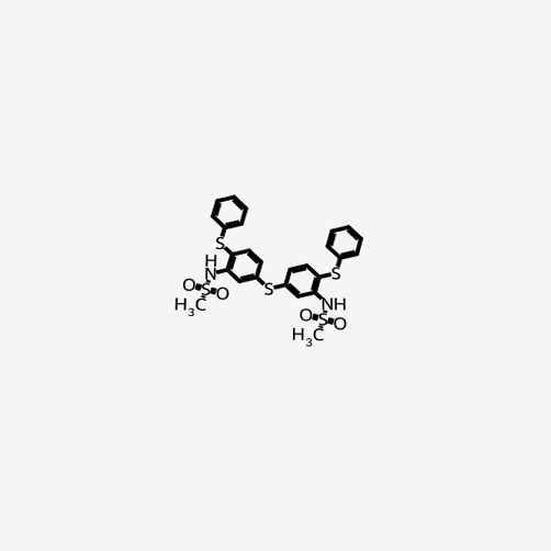 CS(=O)(=O)Nc1cc(Sc2ccc(Sc3ccccc3)c(NS(C)(=O)=O)c2)ccc1Sc1ccccc1